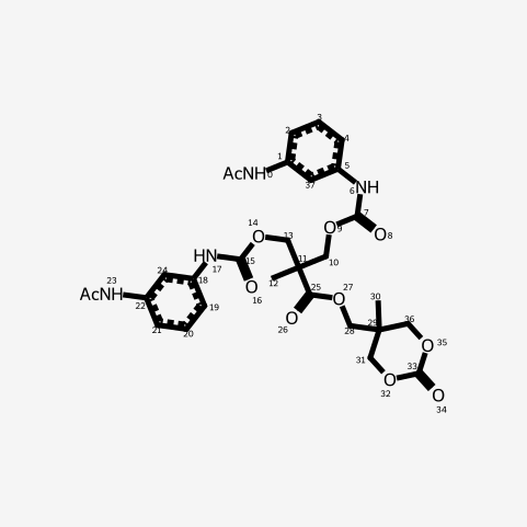 CC(=O)Nc1cccc(NC(=O)OCC(C)(COC(=O)Nc2cccc(NC(C)=O)c2)C(=O)OCC2(C)COC(=O)OC2)c1